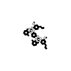 C=CCc1ccc(OP(=O)(Oc2cccc(OP(=O)(Oc3ccc(CC=C)cc3OC)Oc3c(C)cccc3C)c2)Oc2c(C)cccc2C)c(OC)c1